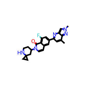 Cc1cc(-c2cc(F)c3c(=O)n(C4CCNC5(CC5)C4)ccc3c2)nc2cn(C)nc12